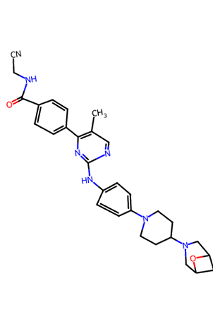 Cc1cnc(Nc2ccc(N3CCC(N4CC5CC(C4)O5)CC3)cc2)nc1-c1ccc(C(=O)NCC#N)cc1